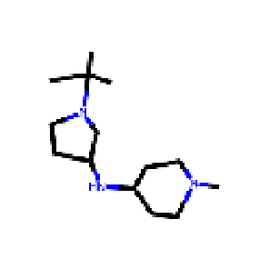 CN1CCC(NC2CCN(C(C)(C)C)C2)CC1